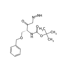 CC(C)(C)OC(=O)N[C@H](COCc1ccccc1)C(=O)CN=N